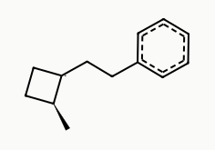 C[C@H]1CC[C]1CCc1ccccc1